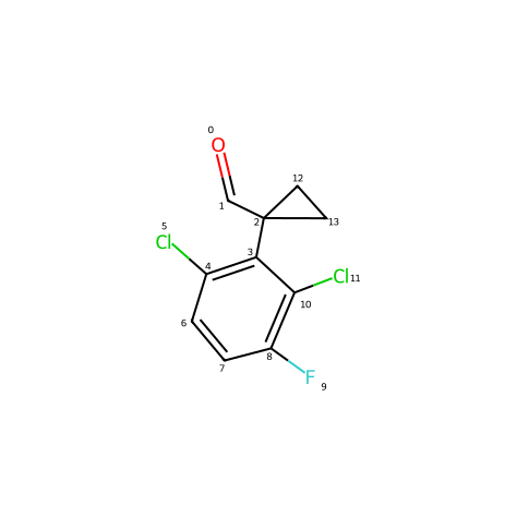 O=CC1(c2c(Cl)ccc(F)c2Cl)CC1